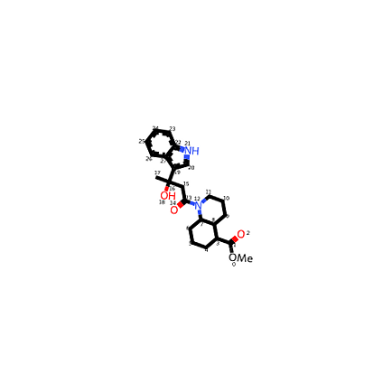 COC(=O)C1CCCC2C1CCCN2C(=O)CC(C)(O)c1c[nH]c2ccccc12